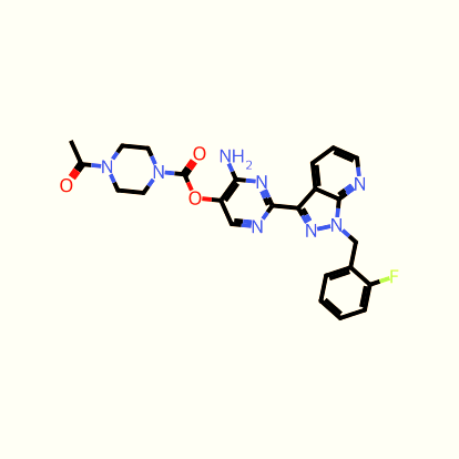 CC(=O)N1CCN(C(=O)Oc2cnc(-c3nn(Cc4ccccc4F)c4ncccc34)nc2N)CC1